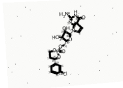 Nc1nc2c(ccn2[C@@H]2O[C@H](COP3(=O)OCC[C@@H](c4cccc(Cl)c4)O3)[C@@H](O)[C@H]2O)c(=O)[nH]1